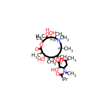 CC[C@H]1OC(=O)[C@H](C)[C@@H](O)[C@H](C)[C@@H](O[C@@H]2O[C@H](C)C[C@H](N(C)C(=O)C(C)C)[C@H]2O)[C@](C)(O)C[C@@H](C)CN(C)[C@H](C)[C@@H](O)[C@]1(C)O